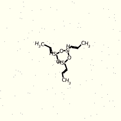 CC=C[SiH]1O[SiH](C=CC)O[SiH](C=CC)O1